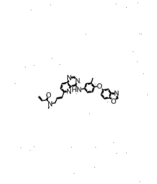 C=CC(=O)N(C)CC=Cc1ccc2ncnc(Nc3ccc(Oc4ccc5ocnc5c4)c(C)c3)c2n1